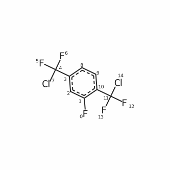 Fc1cc(C(F)(F)Cl)ccc1C(F)(F)Cl